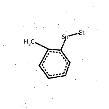 C[CH2][Sn][c]1ccccc1C